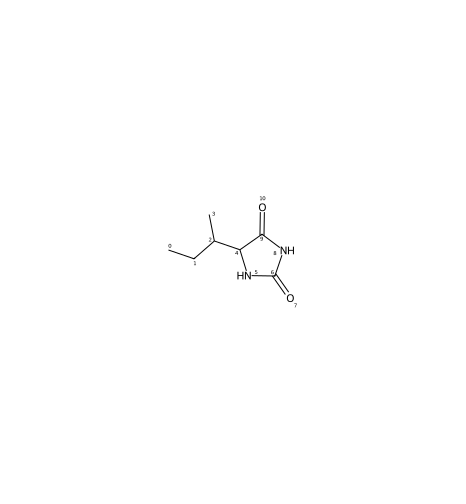 CCC(C)C1NC(=O)NC1=O